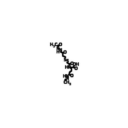 C/C=N/NC(=O)CCC(NC(=O)CSSCCC(=O)/C=N/NC(C)=O)C(=O)O